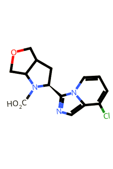 O=C(O)N1C2COCC2C[C@H]1c1ncc2c(Cl)cccn12